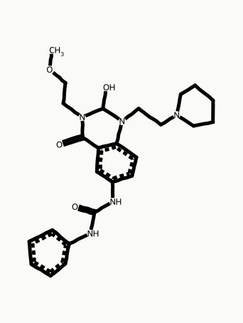 COCCN1C(=O)c2cc(NC(=O)Nc3ccccc3)ccc2N(CCN2CCCCC2)C1O